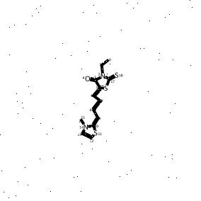 CCN1C(=O)C(=CC=CC=C2SC=CN2C)SC1=S